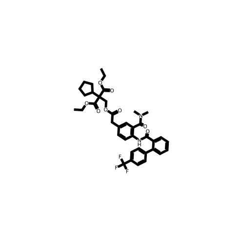 CCOC(=O)C(COC(=O)Cc1ccc(NC(=O)c2ccccc2-c2ccc(C(F)(F)F)cc2)c(C(=O)N(C)C)c1)(C(=O)OCC)C1CCCC1